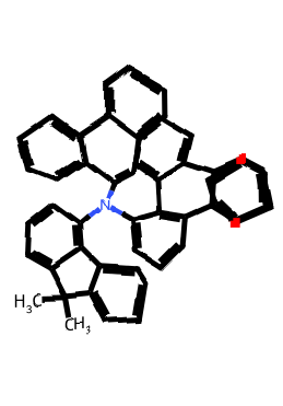 CC1(C)c2ccccc2-c2c(N(c3cccc(-c4ccccc4)c3-c3ccccc3-c3ccccc3)c3cc4ccccc4c4ccccc34)cccc21